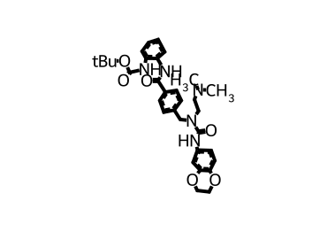 CN(C)CCN(Cc1ccc(C(=O)Nc2ccccc2NC(=O)OC(C)(C)C)cc1)C(=O)Nc1ccc2c(c1)OCCO2